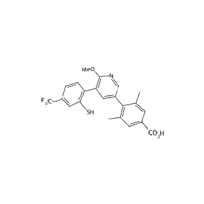 COc1ncc(-c2c(C)cc(C(=O)O)cc2C)cc1-c1ccc(C(F)(F)F)cc1S